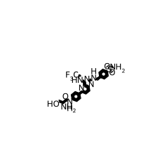 N[C@@H](CO)C(=O)Nc1ccc(-c2ccc3nc(NCc4ccc(S(N)(=O)=O)cc4)nc(NCC(F)(F)F)c3n2)cc1